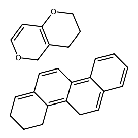 C1=CC2=C(CCCO2)CO1.C1=c2ccc3c(c2CCC1)CC=c1ccccc1=3